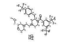 COC[C@@H]1CN(CCN2CCN(C(=O)c3cc(C(F)(F)F)cc(C(F)(F)F)c3)[C@H](Cc3ccc(C(F)(F)F)cc3)C2)CCO1.Cl.Cl